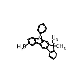 Bc1ccc2c(c1)c1cc3c(cc1n2-c1ccccc1)C(C)(C)C1=C3C=CCC1